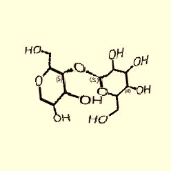 OCC1O[C@@H](O[C@@H]2C(CO)OCC(O)C2O)C(O)C(O)[C@H]1O